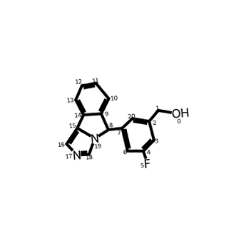 OCc1cc(F)cc(C2c3ccccc3-c3cncn32)c1